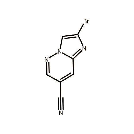 N#Cc1cnn2cc(Br)nc2c1